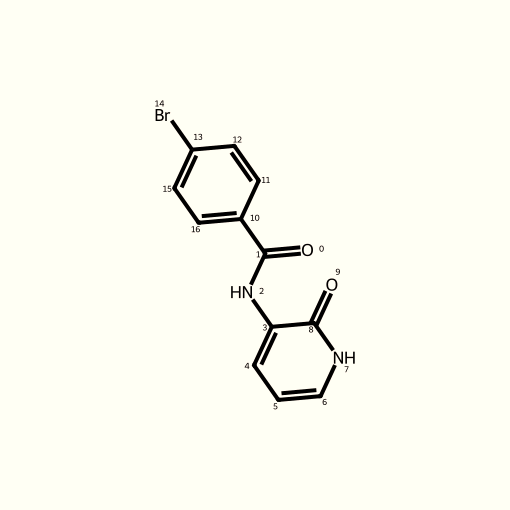 O=C(Nc1ccc[nH]c1=O)c1ccc(Br)cc1